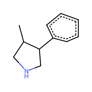 CC1CNCC1c1ccccc1